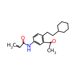 C=CC(=O)Nc1ccc(CCC2CCCCC2)c(C(C)=O)c1